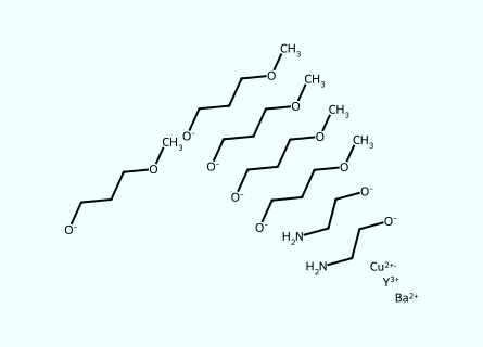 COCCC[O-].COCCC[O-].COCCC[O-].COCCC[O-].COCCC[O-].NCC[O-].NCC[O-].[Ba+2].[Cu+2].[Y+3]